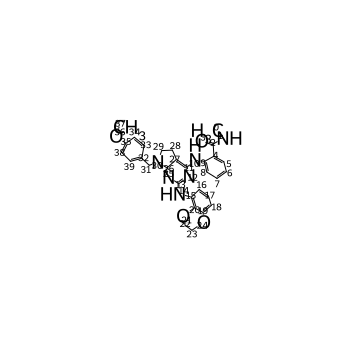 CNC(=O)c1ccccc1Nc1nc(Nc2cccc3c2OCCO3)nc2c1CCN2Cc1ccc(OC)cc1